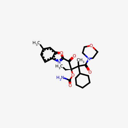 CC[C@@](OC(N)=O)(C(=O)c1nc2ccc(C)cc2o1)C(C)(C(=O)N1CCOCC1)C1CCCCC1